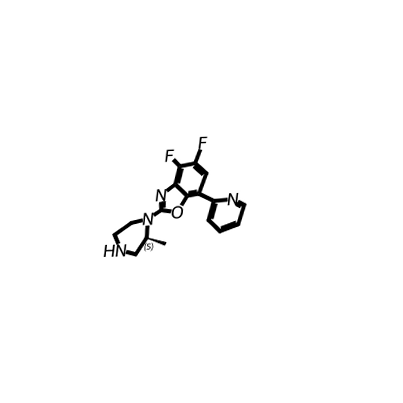 C[C@H]1CNCCN1c1nc2c(F)c(F)cc(-c3ccccn3)c2o1